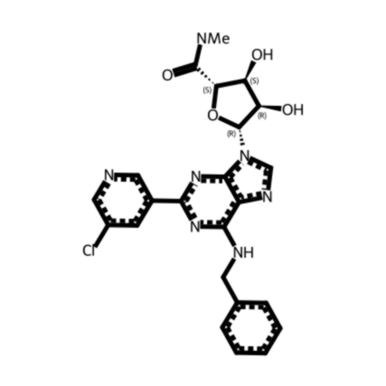 CNC(=O)[C@H]1O[C@@H](n2cnc3c(NCc4ccccc4)nc(-c4cncc(Cl)c4)nc32)[C@H](O)[C@@H]1O